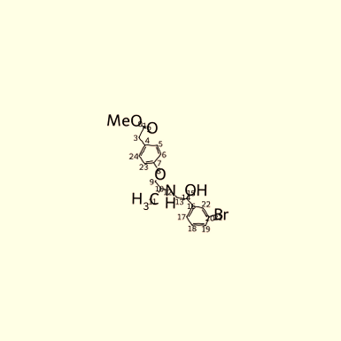 COC(=O)Cc1ccc(OCC(C)NCC(O)c2cccc(Br)c2)cc1